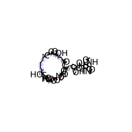 CO[C@@H]1C[C@H](C[C@@H](C)[C@@H]2CC(=O)[C@H](C)/C=C(\C)[C@@H](O)[C@@H](OC)C(=O)[C@H](C)C[C@H](C)/C=C/C=C/C=C(\C)[C@@H](O)C[C@@H]3CC[C@@H](C)[C@@](O)(O3)C(=O)C(=O)N3CCCC[C@H]3C(=O)O2)CC[C@H]1OC(=O)c1c(I)c(NC(C)=O)c(I)c(NC(C)=O)c1I